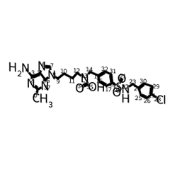 Cc1nc(N)c2ncn(CCCCN(Cc3ccc(S(=O)(=O)NCc4ccc(Cl)cc4)cc3)C(=O)O)c2n1